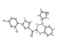 O=C(c1cc(-c2ccc(F)cc2F)on1)N1Cc2ccccc2C(c2cn[nH]c2)C1